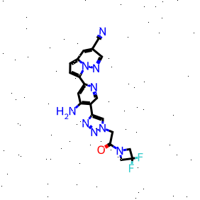 N#Cc1cnn2c(-c3cc(N)c(-c4cn(CC(=O)N5CC(F)(F)C5)nn4)cn3)ccc2c1